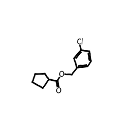 O=C(OCc1cccc(Cl)c1)C1CCCC1